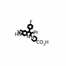 CC(C)c1c(N2CCC(C(=O)O)CC2)nc2cc3[nH]ncc3cc2c1-c1ccc(F)cc1